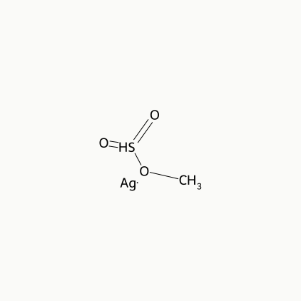 CO[SH](=O)=O.[Ag]